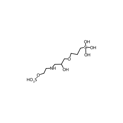 O=S(=O)(O)OCCNCC(O)COCCC[Si](O)(O)O